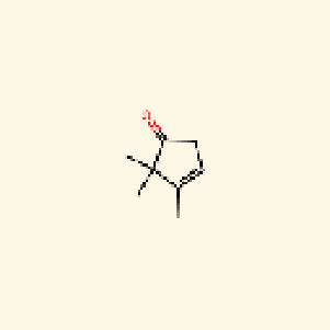 CC1=CCC(=O)C1(C)C